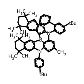 Cc1cc2c3c(c1)N(c1ccc(C(C)(C)C)cc1-c1ccccc1)c1sc4cc5c(cc4c1B3c1cc3c(cc1N2c1ccc(C(C)(C)C)cc1)C(C)(C)CCC3(C)C)C(C)(C)CCC5(C)C